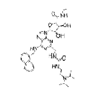 CCNC(=O)[C@H]1O[C@@H](n2cnc3c(NCc4cccc5ccccc45)nc(CNC(=O)NCCN(C(C)C)C(C)C)nc32)[C@H](O)[C@@H]1O